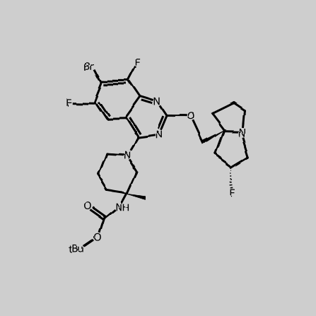 CC(C)(C)OC(=O)N[C@]1(C)CCCN(c2nc(OC[C@@]34CCCN3C[C@H](F)C4)nc3c(F)c(Br)c(F)cc23)C1